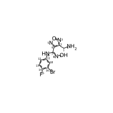 NCc1nonc1C(=NO)Nc1ccc(F)c(Br)c1